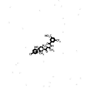 CC(NC(=O)c1cc(C(=O)O)cc(C(F)(F)F)c1)[C@@H](C)C(=O)N1CC[C@](O)(c2ccc(Cl)cc2)C(C)(C)C1